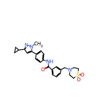 Cn1nc(C2CC2)cc1-c1ccc(NC(=O)c2cccc(CN3CCS(=O)(=O)CC3)c2)cc1